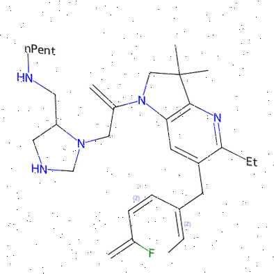 C=C(F)/C=C\C(=C/C)Cc1cc2c(nc1CC)C(C)(C)CN2C(=C)CN1CNCC1CNCCCCC